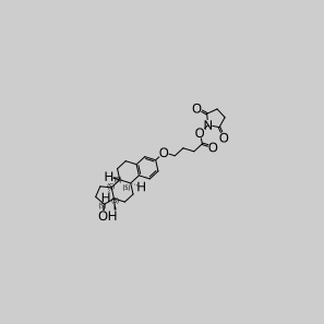 C[C@]12CC[C@@H]3c4ccc(OCCCC(=O)ON5C(=O)CCC5=O)cc4CC[C@H]3[C@@H]1CC[C@@H]2O